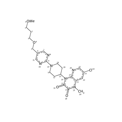 COCCCOCc1cnc(N2CCC(n3c(=O)c(=O)n(C)c4cc(Cl)cnc43)CC2)nc1